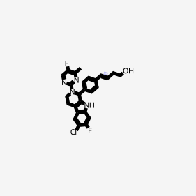 Cc1nc(N2CCc3c([nH]c4cc(F)c(Cl)cc34)C2c2ccc(/C=C/CCO)cc2)ncc1F